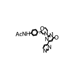 CC(=O)Nc1ccc([C@H]2CN(c3nc(-c4ccncn4)cc(=O)n3C)CCO2)cc1